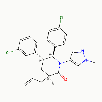 C=CC[C@@]1(C)C[C@H](c2cccc(Cl)c2)[C@@H](c2ccc(Cl)cc2)N(c2cnn(C)c2)C1=O